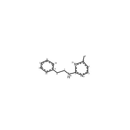 Cc1ccnc(NCCc2ccccc2)n1